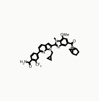 COc1cc(C(=O)N2CC3CCC2[C@@H]3C)cc2nc(-c3cc4ccc(-c5ccc(C(N)=O)c(C(F)(F)F)c5)nc4n3CC3CC3)n(C)c12